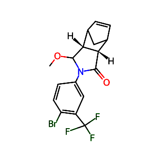 COC1[C@@H]2C3C=CC(C3)[C@@H]2C(=O)N1c1ccc(Br)c(C(F)(F)F)c1